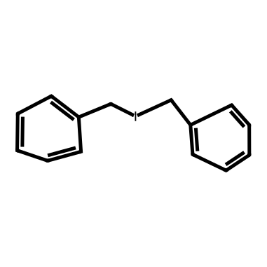 c1ccc(C[I]Cc2ccccc2)cc1